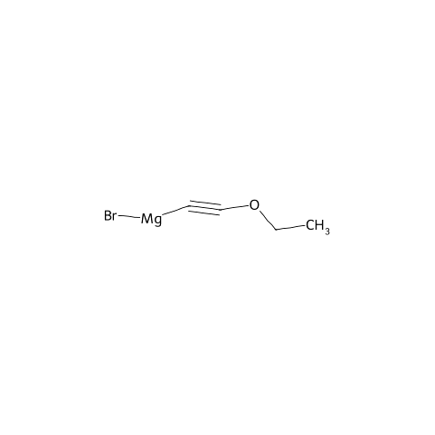 CCOC#[C][Mg][Br]